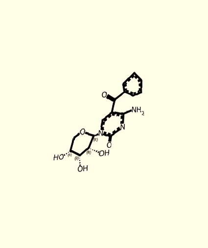 Nc1nc(=O)n([C@@H]2OC[C@@H](O)[C@@H](O)[C@H]2O)cc1C(=O)c1ccccc1